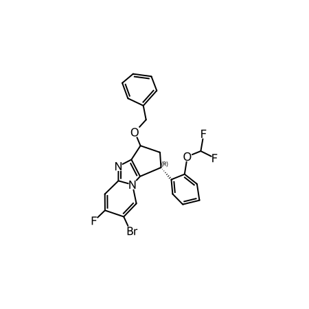 Fc1cc2nc3c(n2cc1Br)[C@@H](c1ccccc1OC(F)F)CC3OCc1ccccc1